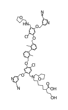 Cc1c(COc2cc(OCc3cncc(C#N)c3)c(CNCC3CCCO3)cc2Cl)cccc1-c1cccc(COc2cc(OCc3cncc(C#N)c3)c(CN(CCCCCC(CCO)C(=O)O)CC3CCCO3)cc2Cl)c1C